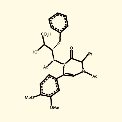 COc1ccc(C2=CN(C(C)=O)C(C(C)C)C(=O)N2N(C(C)=O)[C@@H](Cc2ccccc2)C(O)C(=O)O)cc1OC